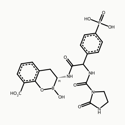 O=C(O)c1cccc2c1OB(O)[C@@H](NC(=O)C(NC(=O)N1CCNC1=O)c1ccc(P(=O)(O)O)cc1)C2